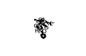 [C-]#[N+]CCOP(C)OC1[C@@H](CC)S[C@@H](n2ccc(NC(=O)c3ccccc3)nc2=O)[C@H]1OCCOC